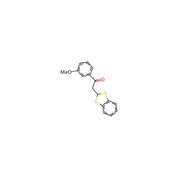 COc1cccc(C(=O)CC2Sc3ccccc3S2)c1